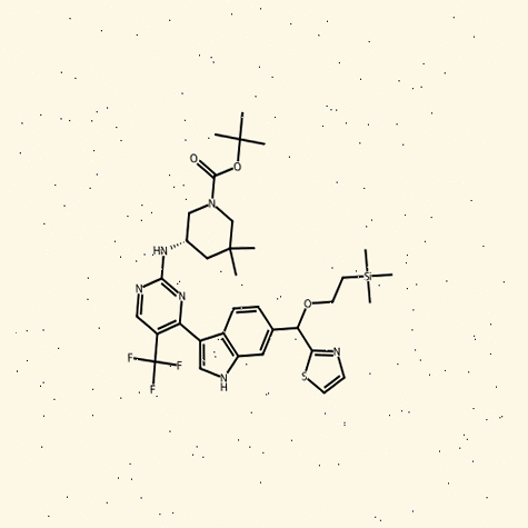 CC1(C)C[C@H](Nc2ncc(C(F)(F)F)c(-c3c[nH]c4cc(C(OCC[Si](C)(C)C)c5nccs5)ccc34)n2)CN(C(=O)OC(C)(C)C)C1